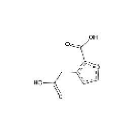 O=C(O)Cc1ccsc1C(=O)O